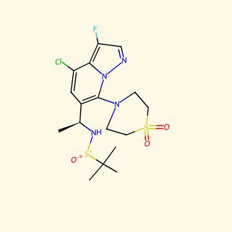 C[C@H](N[S@@+]([O-])C(C)(C)C)c1cc(Cl)c2c(F)cnn2c1N1CCS(=O)(=O)CC1